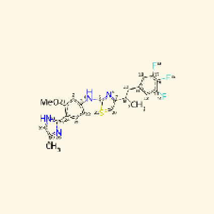 COc1cc(Nc2nc(C(C)Cc3cc(F)c(F)c(F)c3)cs2)ccc1-c1nc(C)c[nH]1